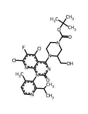 Cc1ccnc(C(C)C)c1-n1c(=O)nc(N2CCN(C(=O)OC(C)(C)C)CC2CO)c2c(Cl)c(F)c(Cl)nc21